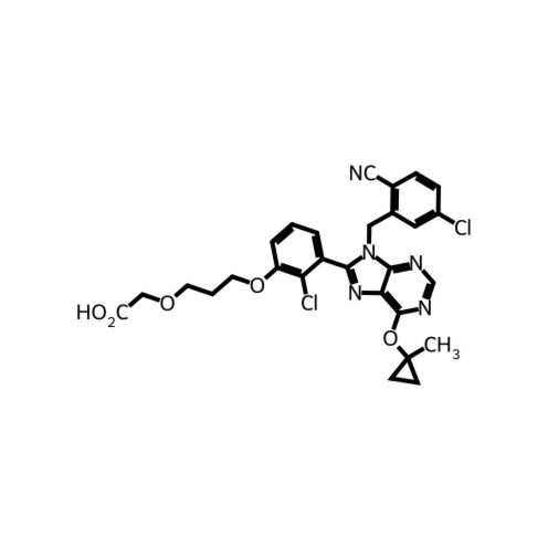 CC1(Oc2ncnc3c2nc(-c2cccc(OCCCOCC(=O)O)c2Cl)n3Cc2cc(Cl)ccc2C#N)CC1